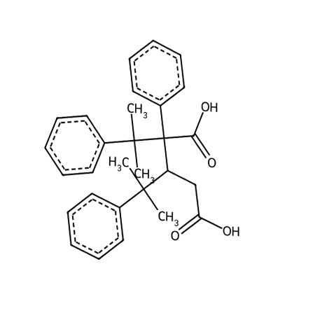 CC(C)(c1ccccc1)C(CC(=O)O)C(C(=O)O)(c1ccccc1)C(C)(C)c1ccccc1